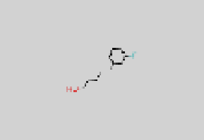 OCCCCCc1cccc(F)c1